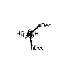 CCCCCCCCCCCCCCCCCCCC(=O)N(P)[C@](CO)(C(=O)O)C(=O)CCCCCCCCCCCCCCCCCCC